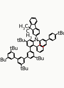 CC(C)(C)c1ccc(-c2cccc(N(c3ccc4c(c3)C(C)(C)c3ccccc3-4)c3cc(C(C)(C)C)cc(-c4cc(-c5cc(-c6cc(C(C)(C)C)cc(C(C)(C)C)c6)cc(C(C)(C)C)c5)cc(C(C)(C)C)c4)c3-c3ccccc3)c2)cc1